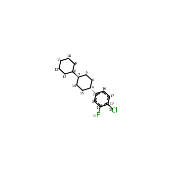 Fc1cc([C@H]2CC[C@H](C3CC[CH]CC3)CC2)ccc1Cl